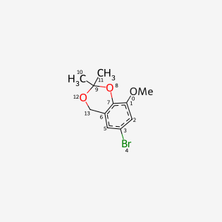 COc1cc(Br)cc2c1OC(C)(C)OC2